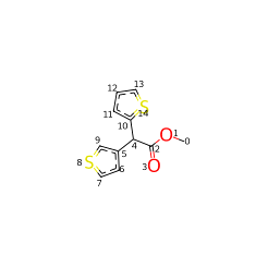 COC(=O)C(c1ccsc1)c1cccs1